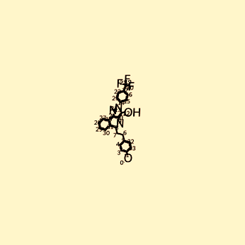 COc1ccc(CCc2nc3c(O)n(-c4ccc(C(F)(F)F)cc4)nc3c3ccccc23)cc1